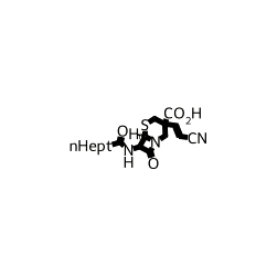 CCCCCCCC(=O)NC1C(=O)N2CC(C=CC#N)(C(=O)O)CS[C@H]12